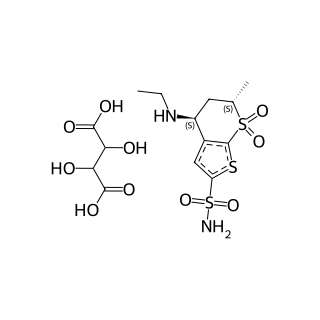 CCN[C@H]1C[C@H](C)S(=O)(=O)c2sc(S(N)(=O)=O)cc21.O=C(O)C(O)C(O)C(=O)O